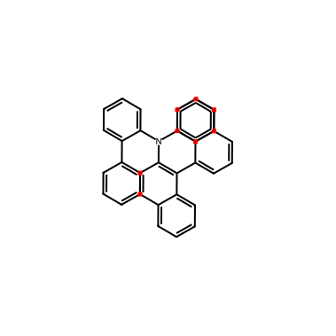 c1ccc(-c2ccccc2N(c2ccccc2)c2ccc3ccccc3c2-c2cccc3ccccc23)cc1